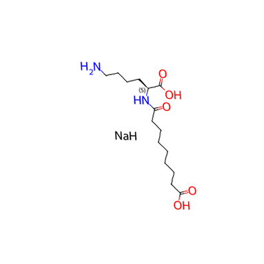 NCCCC[C@H](NC(=O)CCCCCCCC(=O)O)C(=O)O.[NaH]